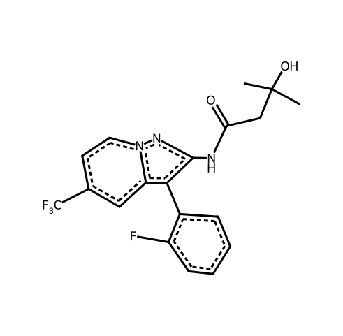 CC(C)(O)CC(=O)Nc1nn2ccc(C(F)(F)F)cc2c1-c1ccccc1F